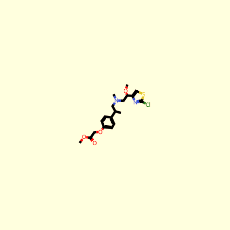 COC(=O)COc1ccc(C(C)CN(C)CC(OC)c2csc(Cl)n2)cc1